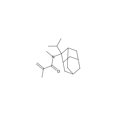 C=C(C)C(=O)N(C)C1(C(C)C)C2CC3CC(C2)CC1C3